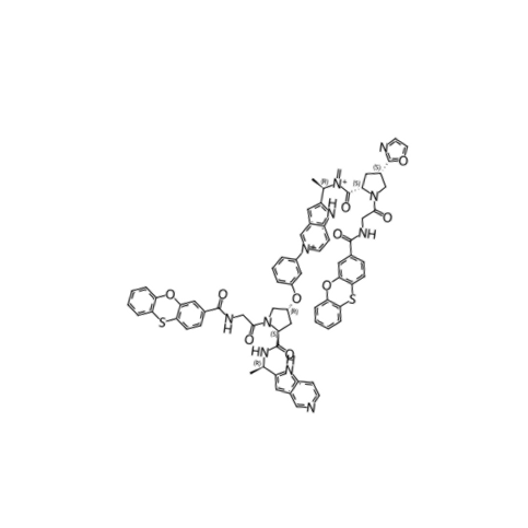 C=[N+](C(=O)[C@@H]1C[C@H](c2ncco2)CN1C(=O)CNC(=O)c1ccc2c(c1)Oc1ccccc1S2)[C@H](C)c1cc2c[n+](-c3cccc(O[C@@H]4C[C@@H](C(=O)N[C@H](C)c5cc6cnccc6[nH]5)N(C(=O)CNC(=O)c5ccc6c(c5)Oc5ccccc5S6)C4)c3)ccc2[nH]1